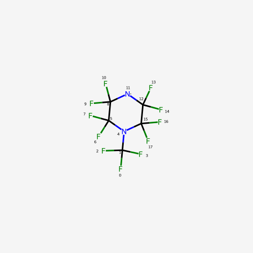 FC(F)(F)N1C(F)(F)C(F)(F)[N]C(F)(F)C1(F)F